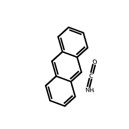 N=C=O.c1ccc2cc3ccccc3cc2c1